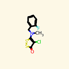 CN(Cc1ccccc1F)c1ssc(=O)c1Cl